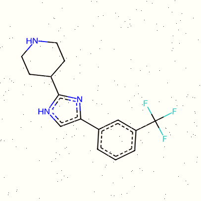 FC(F)(F)c1cccc(-c2c[nH]c(C3CCNCC3)n2)c1